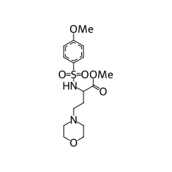 COC(=O)C(CCN1CCOCC1)NS(=O)(=O)c1ccc(OC)cc1